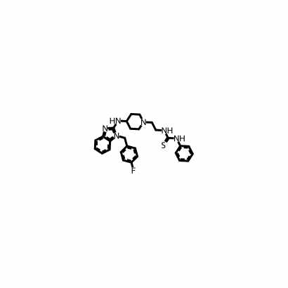 Fc1ccc(Cn2c(NC3CCN(CCNC(=S)Nc4ccccc4)CC3)nc3ccccc32)cc1